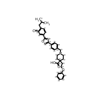 CC(C)Cc1ccc(-c2nc(-c3ccc(CN4CCC(CCOc5ccccc5)(C(=O)O)CC4)cc3)no2)cc1Cl